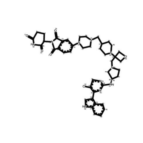 O=C1CCC(N2C(=O)c3ccc(N4CCN(CC5CCN(C6(CN7CC[C@@H](Nc8ncc(Cl)c(-c9c[nH]c%10ccccc9%10)n8)C7)COC6)CC5)CC4)cc3C2=O)C(=O)N1